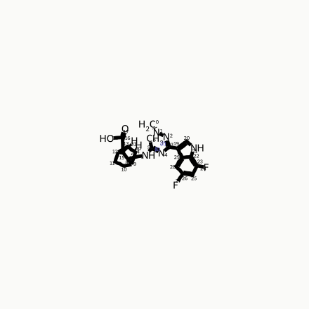 C=N/N=C(\N=C(/C)N[C@H]1C2CCC(CC2)[C@@H]1C(=O)O)c1c[nH]c2c(F)cc(F)cc12